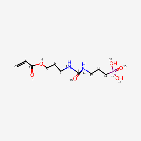 C=CC(=O)OCCCNC(=O)NCCCP(=O)(O)O